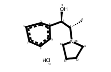 C[C@@H]([C@H](O)c1ccccc1)N1CCCC1.Cl